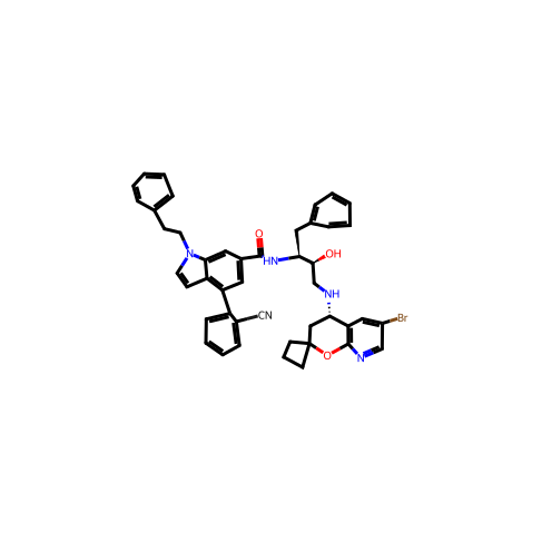 N#Cc1ccccc1-c1cc(C(=O)N[C@@H](Cc2ccccc2)[C@@H](O)CN[C@H]2CC3(CCC3)Oc3ncc(Br)cc32)cc2c1ccn2CCc1ccccc1